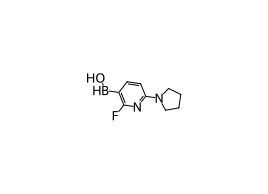 OBc1ccc(N2CCCC2)nc1F